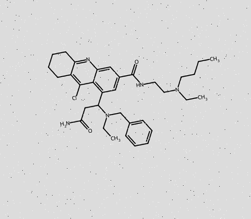 CCCCN(CC)CCNC(=O)c1cc(C(CC(N)=O)N(CC)Cc2ccccc2)c2c(Cl)c3c(nc2c1)CCCC3